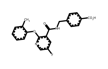 Cc1ccccc1Oc1ncc(F)cc1C(=O)NCc1ccc(C(=O)O)cc1